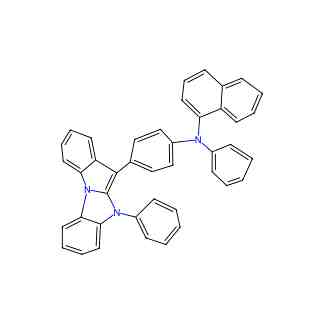 c1ccc(N(c2ccc(-c3c4ccccc4n4c5ccccc5n(-c5ccccc5)c34)cc2)c2cccc3ccccc23)cc1